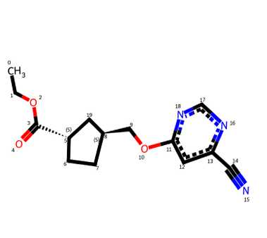 CCOC(=O)[C@H]1CC[C@H](COc2cc(C#N)ncn2)C1